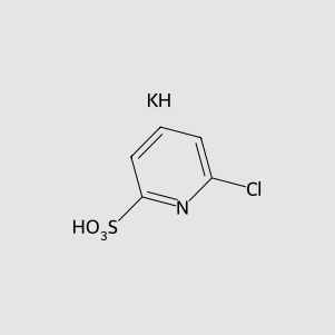 O=S(=O)(O)c1cccc(Cl)n1.[KH]